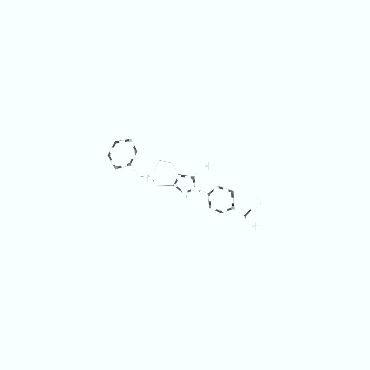 O=C(O)c1ccc(-n2nc3c(c2O)CCN(Cc2ccccc2)C3)cc1